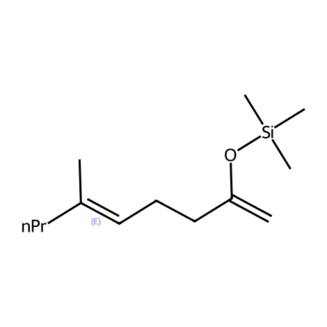 C=C(CC/C=C(\C)CCC)O[Si](C)(C)C